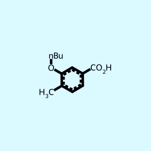 CCCCOc1cc(C(=O)O)ccc1C